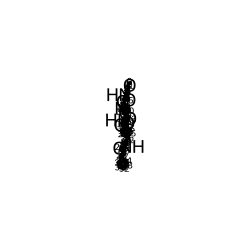 COCCNC(=O)Oc1ccc(C(=O)NS(=O)(=O)c2ccc(CCNC(=O)CCc3ccccc3)cc2)cn1